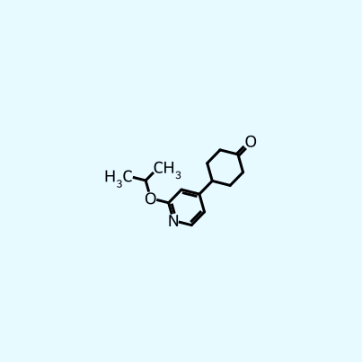 CC(C)Oc1cc(C2CCC(=O)CC2)ccn1